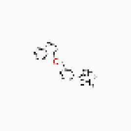 CC(C)c1cccc(COc2cccc3ccccc23)c1